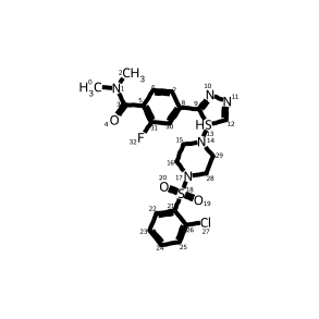 CN(C)C(=O)c1ccc(C2=NN=C[SH]2N2CCN(S(=O)(=O)c3ccccc3Cl)CC2)cc1F